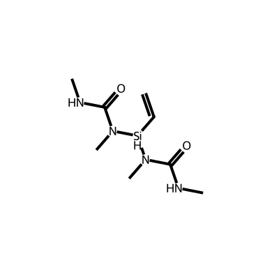 C=C[SiH](N(C)C(=O)NC)N(C)C(=O)NC